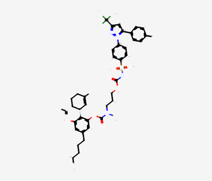 C=C(C)[C@@H]1CCC(C)=C[C@H]1c1c(O)cc(CCCCC)cc1OC(=O)N(C)CCCOC(=O)NS(=O)(=O)c1ccc(-n2nc(C(F)(F)F)cc2-c2ccc(C)cc2)cc1